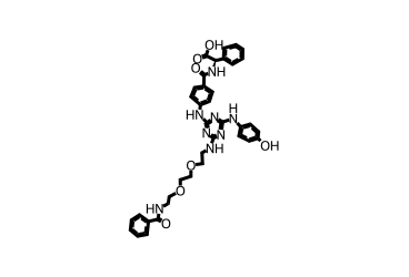 O=C(NCCOCCOCCNc1nc(Nc2ccc(O)cc2)nc(Nc2ccc(C(=O)N[C@@H](C(=O)O)c3ccccc3)cc2)n1)c1ccccc1